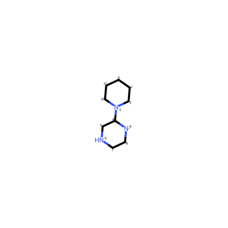 C1CCN([C]2CNCC[N]2)CC1